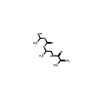 C=C(C)C(=O)NCC(C)OC(=O)OC(C)OC(C)=O